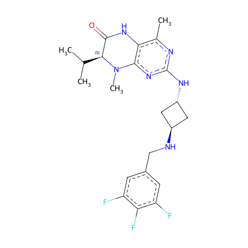 Cc1nc(N[C@H]2C[C@H](NCc3cc(F)c(F)c(F)c3)C2)nc2c1NC(=O)[C@H](C(C)C)N2C